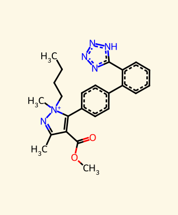 CCCC[N+]1(C)N=C(C)C(C(=O)OC)=C1c1ccc(-c2ccccc2-c2nnn[nH]2)cc1